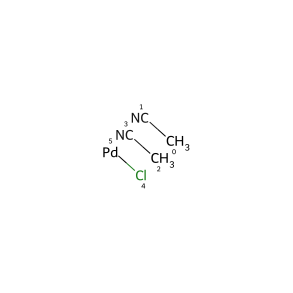 CC#N.CC#N.[Cl][Pd]